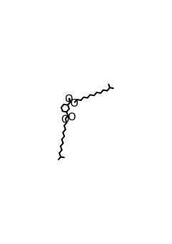 CC(C)CCCCCCCCCCOC(=O)C1CCCC(C(=O)OCCCCCCCCCCC(C)C)C1